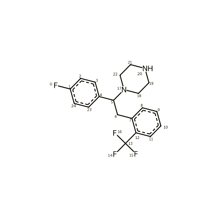 Fc1ccc(C(Cc2ccccc2C(F)(F)F)N2CCNCC2)cc1